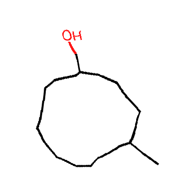 CC1CCCCC(O)CC1